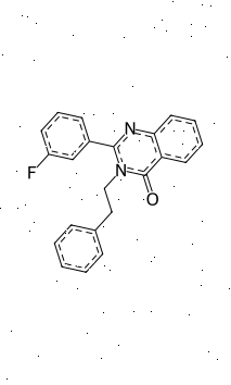 O=c1c2ccccc2nc(-c2cccc(F)c2)n1CCc1ccccc1